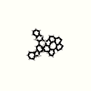 c1cc2c3c(c1)ccc1ccc4c(c13)c1c3c-2cccc3ccc1n4-c1nc2ccccc2nc1-c1ccc2sc3ccccc3c2c1